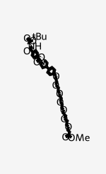 COC(=O)CCOCCOCCOCCOCCOCCOCCOc1ccc(C2CCN(S(=O)(=O)c3ccc(C(=O)NCC(=O)OC(C)(C)C)cc3)CC2)cc1